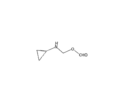 O=COCNC1CC1